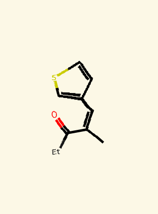 CCC(=O)C(C)=Cc1ccsc1